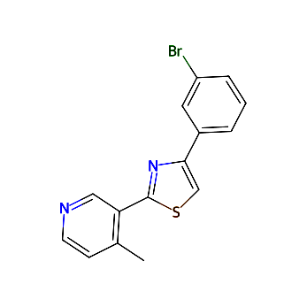 Cc1ccncc1-c1nc(-c2cccc(Br)c2)cs1